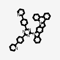 c1ccc(-c2ccc(-c3nc(-c4ccc(-c5ccccn5)cc4)nc(-n4c5ccccc5c5cc6cc7c8ccccc8c8ccccc8n7c6cc54)n3)cc2)nc1